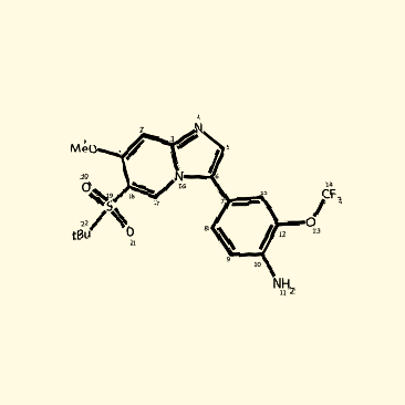 COc1cc2ncc(-c3ccc(N)c(OC(F)(F)F)c3)n2cc1S(=O)(=O)C(C)(C)C